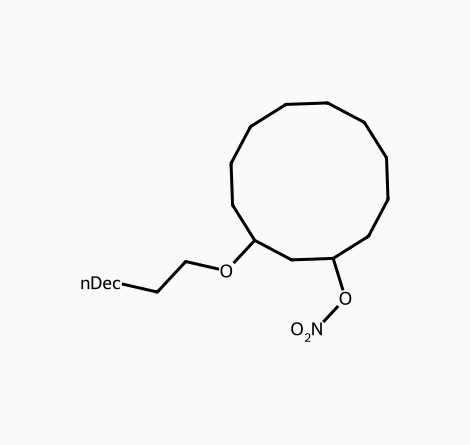 CCCCCCCCCCCCOC1CCCCCCCCCC(O[N+](=O)[O-])C1